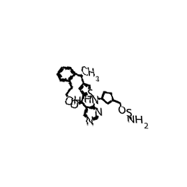 CC(c1csc(C(=O)c2cncnc2NC2CCC(COSN)C2)c1)c1ccccc1CCO